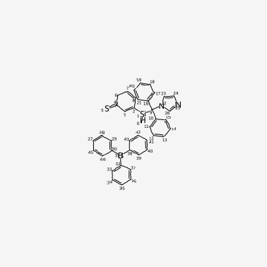 C[SiH](C1=CC(=S)CC=C1)C(c1ccccc1)(c1ccccc1)n1ccnc1.c1ccc(B(c2ccccc2)c2ccccc2)cc1